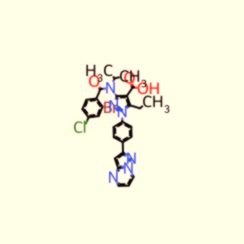 CCc1c(C(=O)O)c(N(C(=O)c2ccc(Cl)cc2Br)C(C)C)nn1-c1ccc(-c2cc3ncccn3n2)cc1